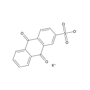 O=C1c2ccccc2C(=O)c2cc(S(=O)(=O)[O-])ccc21.[K+]